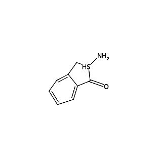 N[SH]1Cc2ccccc2C1=O